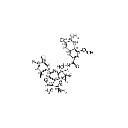 COc1cc(C(=O)NC[C@](O)(c2cc3c(c(-c4cc(Cl)c(F)cc4F)n2)OC[C@]3(C)C(N)=O)C2(F)CC2)cc2cc(Cl)c(C)nc12